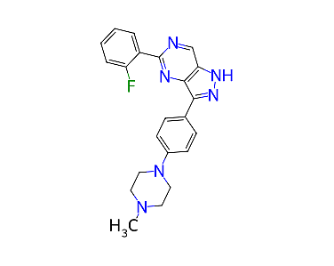 CN1CCN(c2ccc(-c3n[nH]c4cnc(-c5ccccc5F)nc34)cc2)CC1